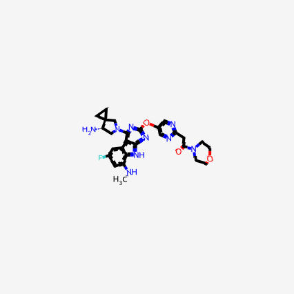 CNc1cc(F)cc2c1[nH]c1nc(Oc3cnc(CC(=O)N4CCOCC4)nc3)nc(N3C[C@H](N)C4(CC4)C3)c12